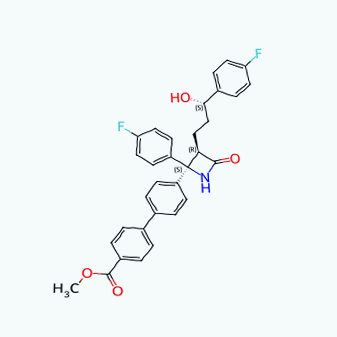 COC(=O)c1ccc(-c2ccc([C@@]3(c4ccc(F)cc4)NC(=O)[C@@H]3CC[C@H](O)c3ccc(F)cc3)cc2)cc1